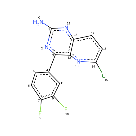 Nc1nc(-c2ccc(F)c(F)c2)c2nc(Cl)ccc2n1